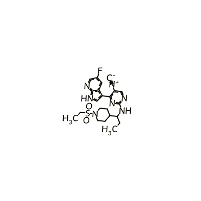 [C-]#[N+]c1cnc(NC(CC)C2CCN(S(=O)(=O)CC)CC2)nc1-c1c[nH]c2ncc(F)cc12